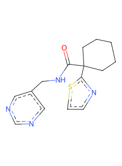 O=C(NCc1cncnc1)C1(c2nccs2)CCCCC1